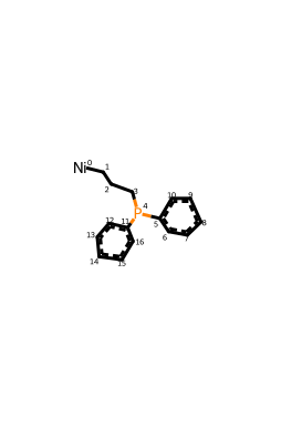 [Ni][CH2]CCP(c1ccccc1)c1ccccc1